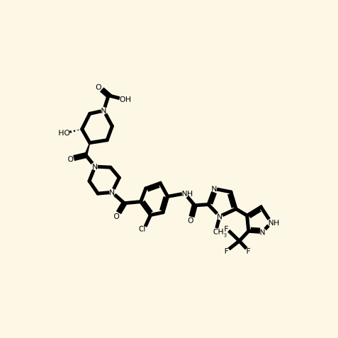 Cn1c(-c2c[nH]nc2C(F)(F)F)cnc1C(=O)Nc1ccc(C(=O)N2CCN(C(=O)[C@@H]3CCN(C(=O)O)C[C@H]3O)CC2)c(Cl)c1